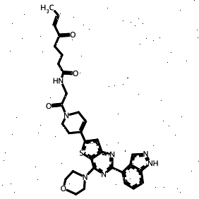 CC=CC(=O)CCCC(=O)NCC(=O)N1CC=C(c2cc3nc(-c4cccc5[nH]ncc45)nc(N4CCOCC4)c3s2)CC1